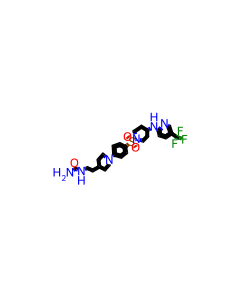 NC(=O)NCCC1CCN(c2ccc(S(=O)(=O)N3CCC(Nc4ccc(C(F)(F)F)cn4)CC3)cc2)CC1